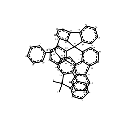 CC1(C)c2ccccc2-c2ccc(N(c3ccccc3)c3cccc4c3C3(c5ccccc5-4)c4ccccc4-n4c5ccccc5c5cccc3c54)cc21